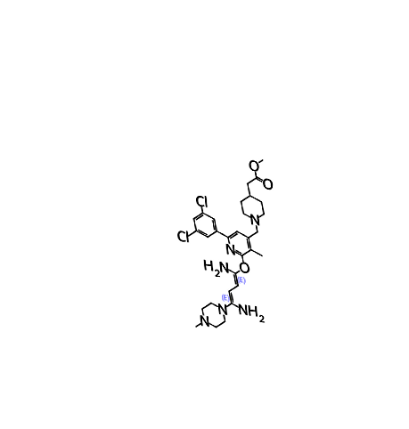 COC(=O)CC1CCN(Cc2cc(-c3cc(Cl)cc(Cl)c3)nc(O/C(N)=C/C=C(\N)N3CCN(C)CC3)c2C)CC1